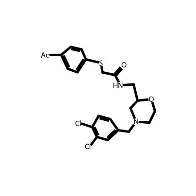 CC(=O)c1ccc(SCC(=O)NCC2CN(Cc3ccc(Cl)c(Cl)c3)CCO2)cc1